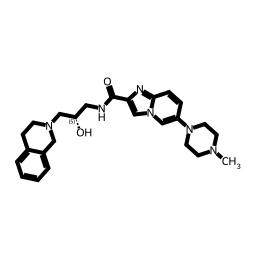 CN1CCN(c2ccc3nc(C(=O)NC[C@H](O)CN4CCc5ccccc5C4)cn3c2)CC1